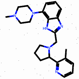 Cc1cccnc1C1CCCN1Cc1nc2cccc(N3CCN(C)CC3)c2[nH]1